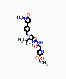 CCS(=O)(=O)c1ccc(CC(=O)Nc2nc3c(s2)CN(Cc2ccc(-c4ccc(=O)n(C)c4)cc2)C3C(C)C)nc1